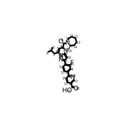 CC(C)Cc1cc(C(=O)N2CCCCC[C@H]2C)nc2cc(-c3ccc(-c4ccc(C(=O)O)cn4)cc3F)nn12